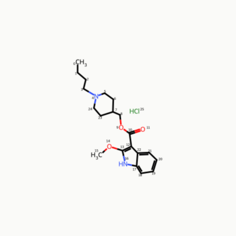 CCCCN1CCC(COC(=O)c2c(OC)[nH]c3ccccc23)CC1.Cl